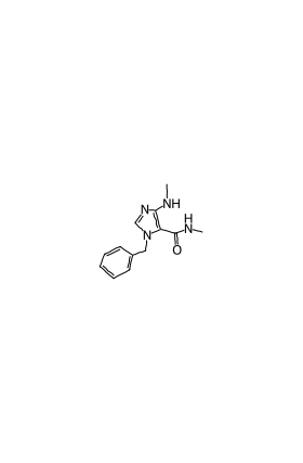 CNC(=O)c1c(NC)ncn1Cc1ccccc1